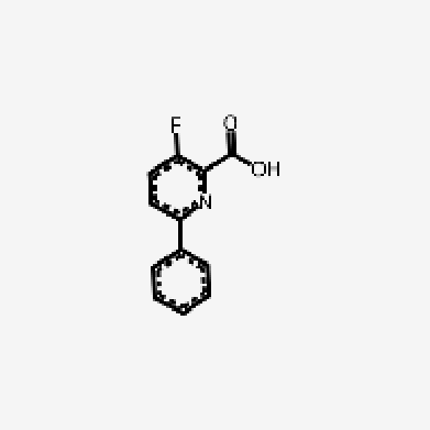 O=C(O)c1nc(-c2ccccc2)ccc1F